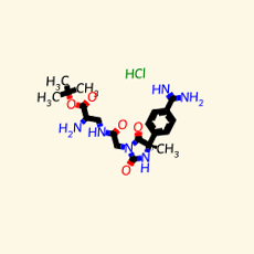 CC(C)(C)OC(=O)C(N)CNC(=O)CN1C(=O)N[C@@](C)(c2ccc(C(=N)N)cc2)C1=O.Cl